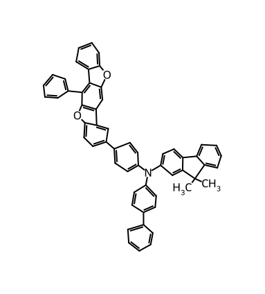 CC1(C)c2ccccc2-c2ccc(N(c3ccc(-c4ccccc4)cc3)c3ccc(-c4ccc5oc6c(-c7ccccc7)c7c(cc6c5c4)oc4ccccc47)cc3)cc21